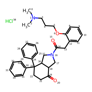 CN(C)CCCOc1ccccc1CC(=O)N1CC2C(=O)CCC(c3ccccc3)(c3ccccc3)C2C1.Cl